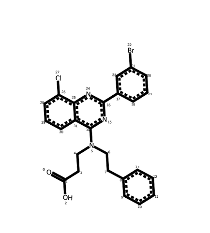 O=C(O)CCN(CCc1ccccc1)c1nc(-c2cccc(Br)c2)nc2c(Cl)cccc12